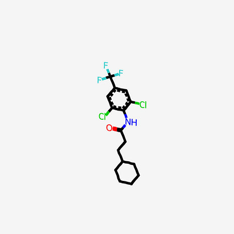 O=C(CCC1CCCCC1)Nc1c(Cl)cc(C(F)(F)F)cc1Cl